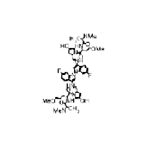 CN[C@@H](C)C(=O)N[C@@H](CCCOC)C(=O)N1C[C@@H](O)C[C@H]1CNc1cn(-n2cc(NC[C@@H]3C[C@H](O)CN3C(=O)[C@H](CCOC)NC(=O)[C@H](C)NC)c3ccc(F)cc32)c2cc(F)ccc12